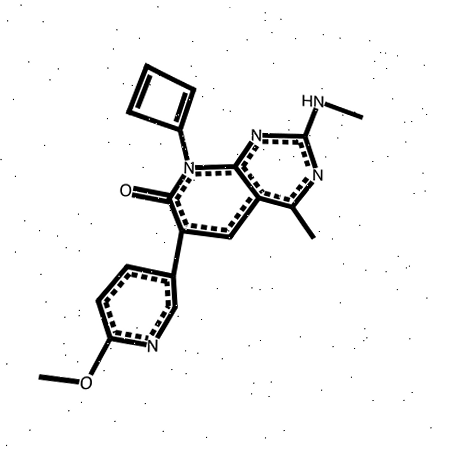 CNc1nc(C)c2cc(-c3ccc(OC)nc3)c(=O)n(C3=CC=C3)c2n1